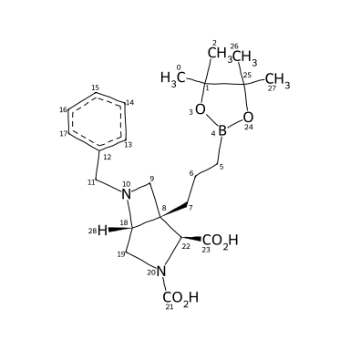 CC1(C)OB(CCC[C@]23CN(Cc4ccccc4)[C@H]2CN(C(=O)O)[C@@H]3C(=O)O)OC1(C)C